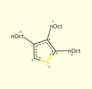 CCCCCCCCc1csc(CCCCCCCC)c1CCCCCCCC